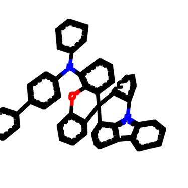 c1ccc(-c2ccc(N(c3ccccc3)c3cccc4c3Oc3ccccc3C43c4ccccc4-n4c5ccccc5c5cccc3c54)cc2)cc1